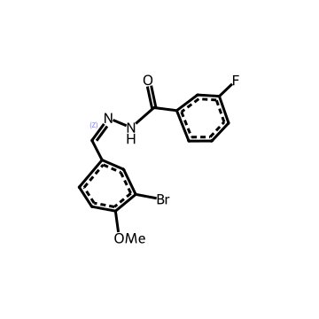 COc1ccc(/C=N\NC(=O)c2cccc(F)c2)cc1Br